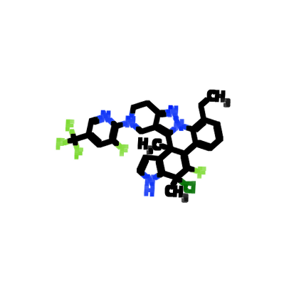 CCc1cccc2c1-n1nc3c(c1C1(C)C2=C(F)C(C)(Cl)c2[nH]ccc21)CN(c1ncc(C(F)(F)F)cc1F)CC3